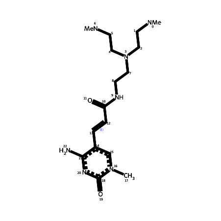 CNCCN(CCNC)CCNC(=O)/C=C/c1cn(C)c(=O)nc1N